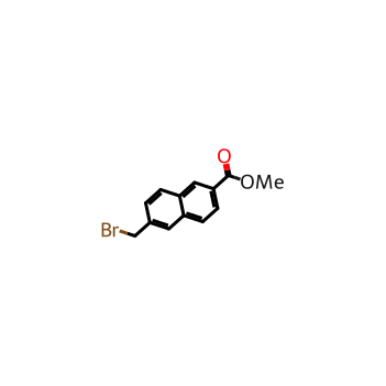 COC(=O)c1ccc2cc(CBr)ccc2c1